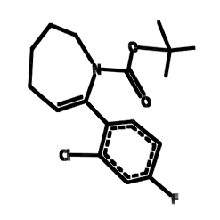 CC(C)(C)OC(=O)N1CCCCC=C1c1ccc(F)cc1Cl